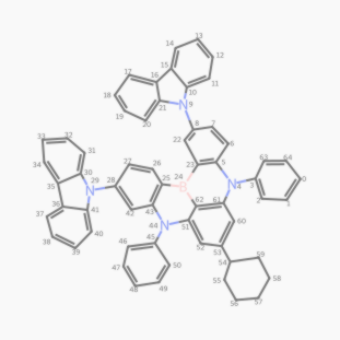 c1ccc(N2c3ccc(-n4c5ccccc5c5ccccc54)cc3B3c4ccc(-n5c6ccccc6c6ccccc65)cc4N(c4ccccc4)c4cc(C5CCCCC5)cc2c43)cc1